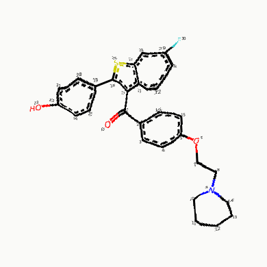 O=C(c1ccc(OCCN2CCCCC2)cc1)c1c(-c2ccc(O)cc2)sc2cc(F)ccc12